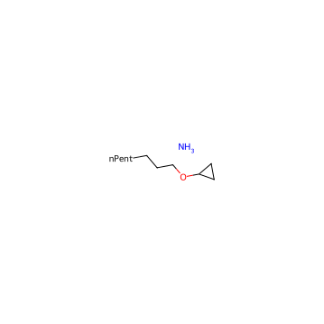 CCCCCCCCOC1CC1.N